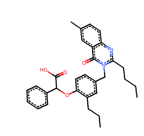 CCCCc1nc2ccc(C)cc2c(=O)n1Cc1ccc(OC(C(=O)O)c2ccccc2)c(CCC)c1